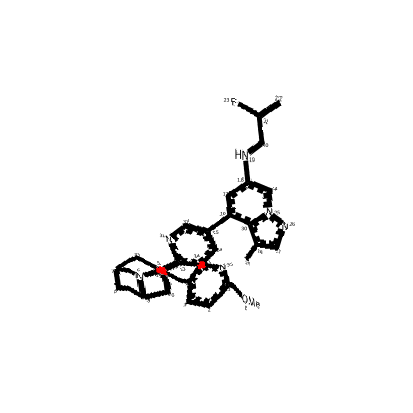 COc1ccc(CN2C3CC2CN(c2ccc(-c4cc(NCC(C)F)cn5ncc(C)c45)cn2)C3)cn1